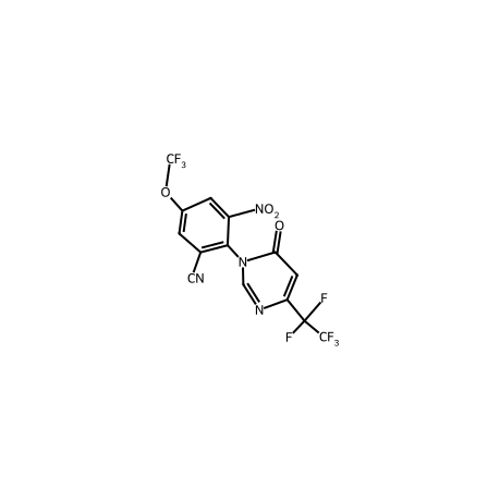 N#Cc1cc(OC(F)(F)F)cc([N+](=O)[O-])c1-n1cnc(C(F)(F)C(F)(F)F)cc1=O